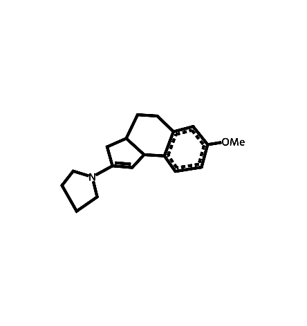 COc1ccc2c(c1)CCC1CC(N3CCCC3)=CC21